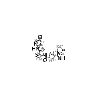 N=C(c1ccc(C(=O)Nc2ccsc2C(=O)Nc2ccc(Cl)cn2)cc1)N1CCCCC1